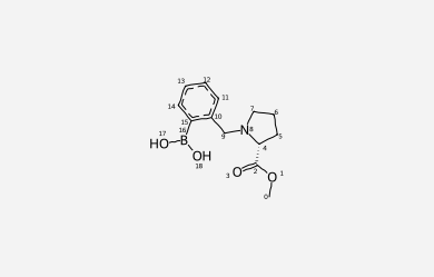 COC(=O)[C@H]1CCCN1Cc1ccccc1B(O)O